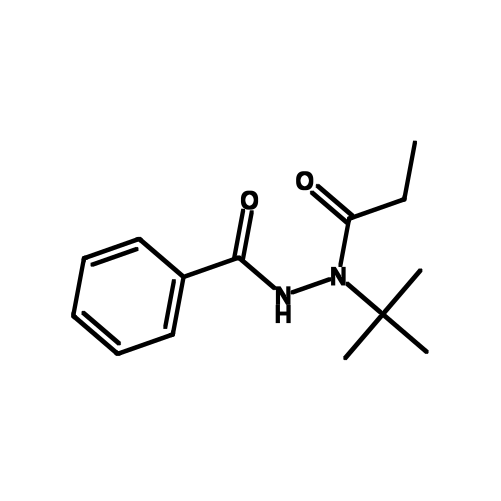 CCC(=O)N(NC(=O)c1ccccc1)C(C)(C)C